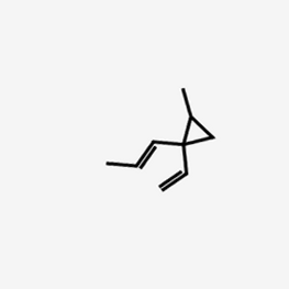 C=CC1(C=CC)CC1C